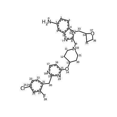 Nc1ccc2c(c1)nc(CN1CCC(Oc3ccnc(Cc4ccc(Cl)cc4F)n3)CC1)n2CC1CCO1